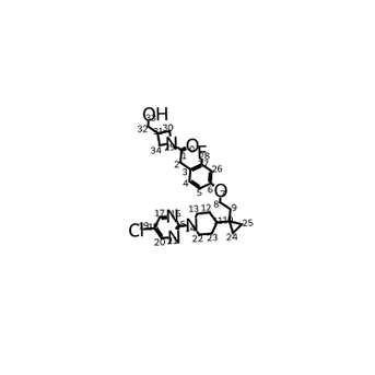 O=C(Cc1ccc(OCCC2(C3CCN(c4ncc(Cl)cn4)CC3)CC2)cc1F)N1CC(CO)C1